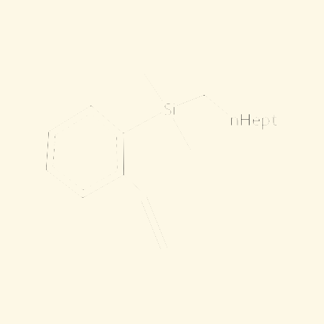 C=Cc1ccccc1[Si](C)(C)CCCCCCCC